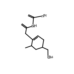 C=C(CCC)NC(=C)CC1=CCC(CC(C)(C)C)CC1C